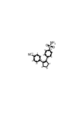 N#Cc1ccc(C2=C(c3ccc(S(N)(=O)=O)cc3)CCC2)cc1